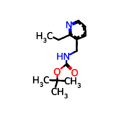 CCc1ncccc1CNC(=O)OC(C)(C)C